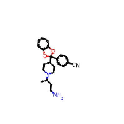 CC(CCN)N1CCC(C2(c3ccc(C#N)cc3)Oc3ccccc3O2)CC1